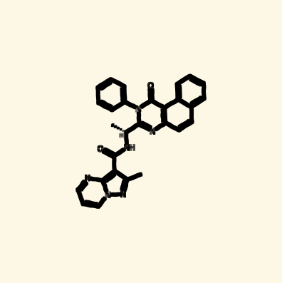 Cc1nn2cccnc2c1C(=O)N[C@H](C)c1nc2ccc3ccccc3c2c(=O)n1-c1ccccc1